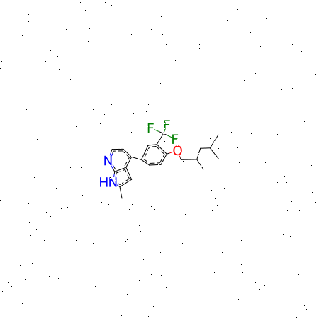 Cc1cc2c(-c3ccc(OCC(C)CC(C)C)c(C(F)(F)F)c3)ccnc2[nH]1